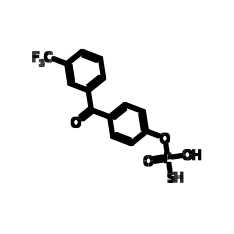 O=C(c1ccc(OP(=O)(O)S)cc1)c1cccc(C(F)(F)F)c1